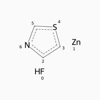 F.[Zn].c1cscn1